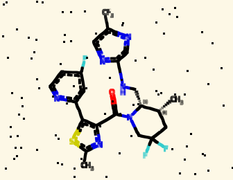 Cc1nc(C(=O)N2CC(F)(F)C[C@@H](C)[C@H]2CNc2cnc(C(F)(F)F)cn2)c(-c2cc(F)ccn2)s1